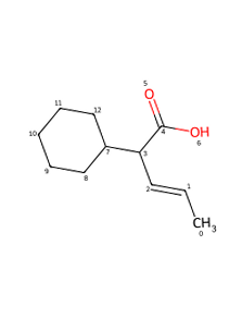 C/C=C/C(C(=O)O)C1CCCCC1